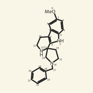 COc1ccc2[nH]c3c(c2c1)CCNC31CCN(Cc2ccccc2)C1